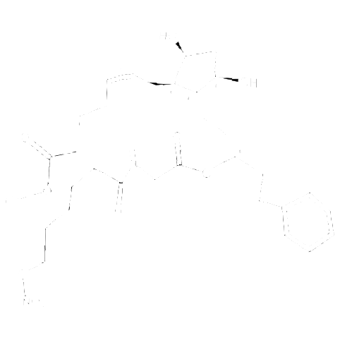 CC(C)OC(=O)CCC/C=C\C[C@@H]1[C@@H](CC[C@H](CCc2ccccc2)OC(=O)CNC(=O)CCCCCO[N+](=O)[O-])[C@H](O)C[C@@H]1O